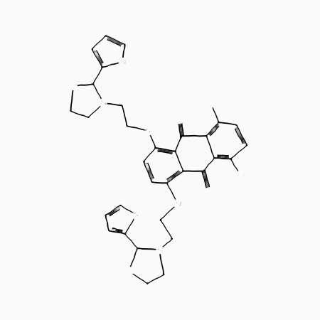 O=C1c2c(O)ccc(O)c2C(=O)c2c(NCCN3CCOC3c3ccc[nH]3)ccc(NCCN3CCOC3c3ccc[nH]3)c21